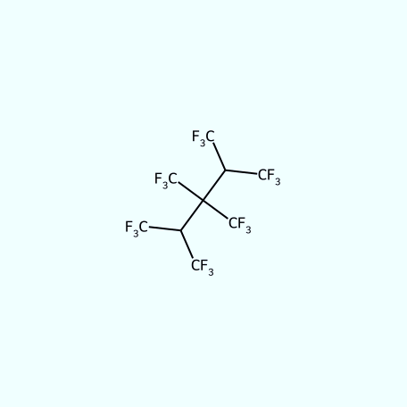 FC(F)(F)C(C(F)(F)F)C(C(C(F)(F)F)C(F)(F)F)(C(F)(F)F)C(F)(F)F